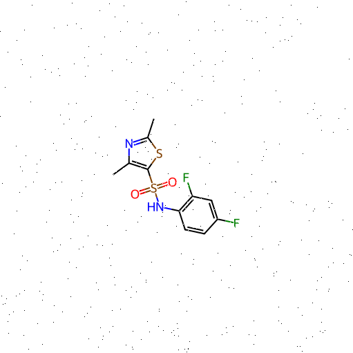 Cc1nc(C)c(S(=O)(=O)Nc2ccc(F)cc2F)s1